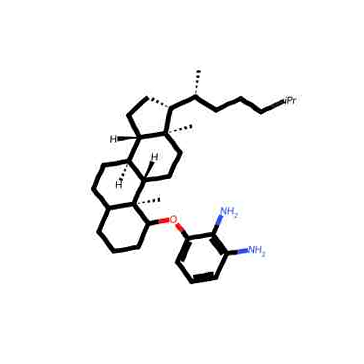 CC(C)CCC[C@@H](C)[C@H]1CC[C@H]2[C@@H]3CCC4CCCC(Oc5cccc(N)c5N)[C@]4(C)[C@H]3CC[C@]12C